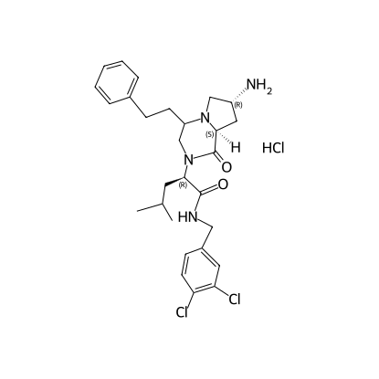 CC(C)C[C@H](C(=O)NCc1ccc(Cl)c(Cl)c1)N1CC(CCc2ccccc2)N2C[C@H](N)C[C@H]2C1=O.Cl